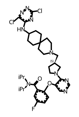 CC(C)N(C(=O)c1cc(F)ccc1Oc1cncnc1N1CC[C@@H](CN2CCC3(CCC(Nc4nc(Cl)nnc4Cl)CC3)CC2)C1)C(C)C